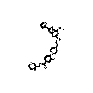 Nc1nc(NCCN2CCN(c3ccc(C(=O)NCC4COCCN4)cc3F)CC2)nc2nc(-c3ccco3)nn12